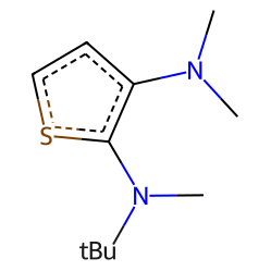 CN(C)c1ccsc1N(C)C(C)(C)C